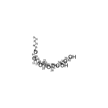 CCCCCCCOCCOC(C)(CC)CCOC(C)(CC)C(C)(C)COC(C)(CC)CCOCC(O)COCCO